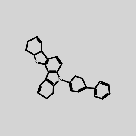 C1=Cc2c(n(C3=CC=C(c4ccccc4)CC3)c3ccc4c(c23)SC2CCC=CC42)CC1